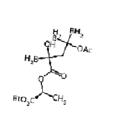 BC(B)(CC(B)(O)C(=O)O[C@@H](C)C(=O)OCC)OC(C)=O